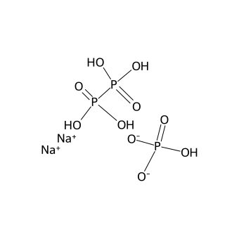 O=P(O)(O)P(=O)(O)O.O=P([O-])([O-])O.[Na+].[Na+]